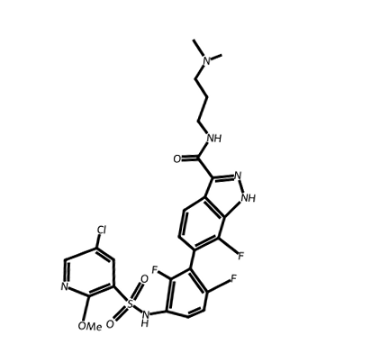 COc1ncc(Cl)cc1S(=O)(=O)Nc1ccc(F)c(-c2ccc3c(C(=O)NCCCN(C)C)n[nH]c3c2F)c1F